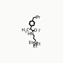 CC[N+](CC)(CC)CCCNC(=O)C(C)c1ccc(CC(C)C)cc1.[I-]